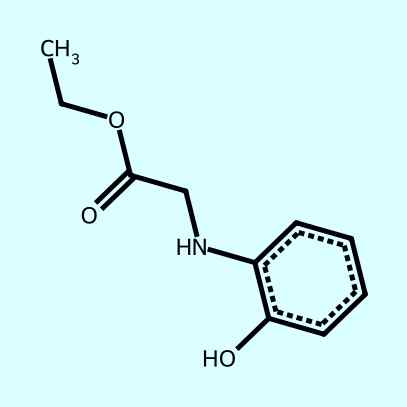 CCOC(=O)CNc1ccccc1O